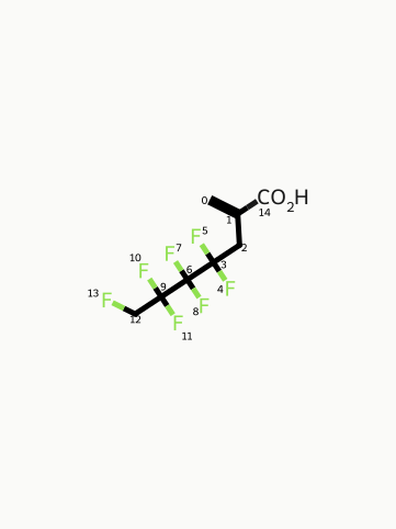 C=C(CC(F)(F)C(F)(F)C(F)(F)CF)C(=O)O